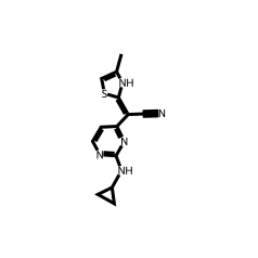 CC1=CSC(=C(C#N)c2ccnc(NC3CC3)n2)N1